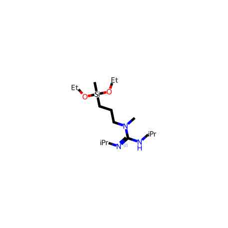 CCO[Si](C)(CCCN(C)/C(=N\C(C)C)NC(C)C)OCC